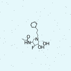 CCC(=O)N[C@H]1CN(CCCc2ccccc2)[C@H](CO)[C@@H](O)[C@H]1F